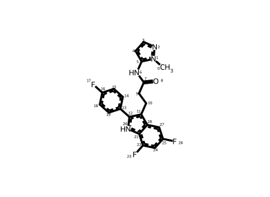 Cn1nccc1NC(=O)CCc1c(-c2ccc(F)cc2)[nH]c2c(F)cc(F)cc12